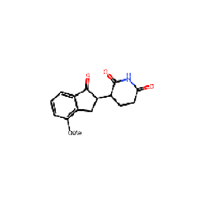 COc1cccc2c1CC(C1CCC(=O)NC1=O)C2=O